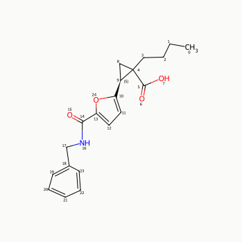 CCCCC1(C(=O)O)C[C@@H]1c1ccc(C(=O)NCc2ccccc2)o1